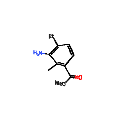 CCc1ccc(C(=O)OC)c(C)c1N